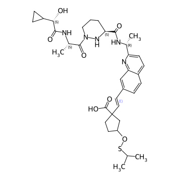 CC(C)SOC1CCC(/C=C/c2ccc3ccc([C@@H](C)NC(=O)[C@@H]4CCCN(C(=O)[C@H](C)NC(=O)[C@@H](O)C5CC5)N4)nc3c2)(C(=O)O)C1